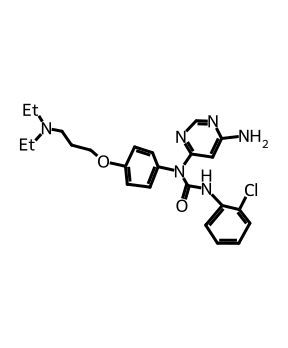 CCN(CC)CCCOc1ccc(N(C(=O)Nc2ccccc2Cl)c2cc(N)ncn2)cc1